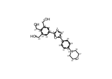 OCc1cc(-c2nnc(-c3ccc(N4CCOCC4)cc3)o2)cc(CO)c1CO